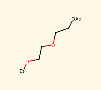 [CH2]COCCOCCOC(C)=O